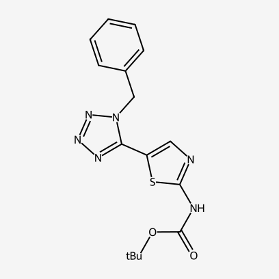 CC(C)(C)OC(=O)Nc1ncc(-c2nnnn2Cc2ccccc2)s1